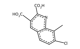 Cc1c(Cl)ccc2cc(C(=O)O)c(C(=O)O)nc12